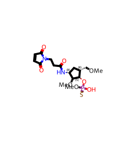 COC[C@H]1C[C@@H](NC(=O)CCN2C(=O)C=CC2=O)C(OC)[C@H]1OP(O)(=S)OC